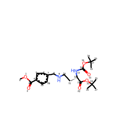 COC(=O)c1ccc(CNCC[C@H](NC(=O)OC(C)(C)C)C(=O)OC(C)(C)C)cc1